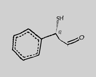 O=[C][C@@H](S)c1ccccc1